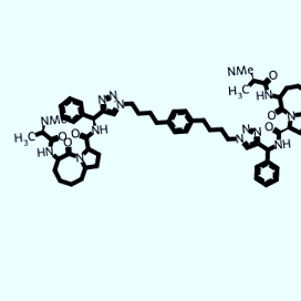 CN[C@@H](C)C(=O)NC1CCCCC2CC[C@@H](C(=O)NC(c3ccccc3)c3cn(CCCCc4ccc(CCCCn5cc([C@@H](NC(=O)C6CCC7CCCCC(NC(=O)[C@@H](C)NC)C(=O)N76)c6ccccc6)nn5)cc4)nn3)N2C1=O